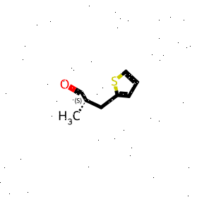 C[C@H](C=O)Cc1cccs1